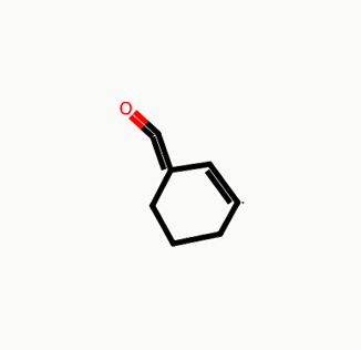 O=C=C1C=[C]CCC1